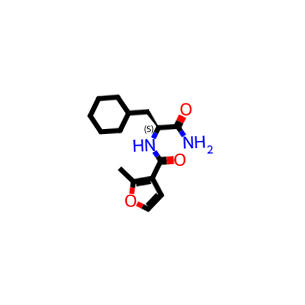 Cc1occc1C(=O)N[C@@H](CC1CCCCC1)C(N)=O